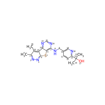 Cc1nnc2sc3c(NCc4ccc(C(C)(C)O)nc4)ncnc3c2c1C